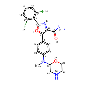 CCN(c1ccc(-c2oc(-c3c(F)cccc3F)nc2C(N)=O)cc1)C1CNCCO1